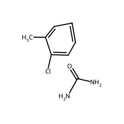 Cc1ccccc1Cl.NC(N)=O